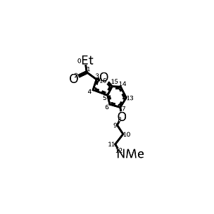 CCC(=O)c1cc2cc(OCCCNC)ccc2o1